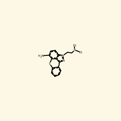 CCN(CC)CCn1nc2c3c(c(N)ccc31)Sc1ccccc1-2